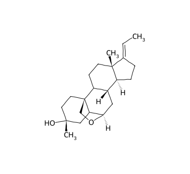 C/C=C1\CC[C@H]2[C@@H]3C[C@H]4OC[C@@]5(CC[C@@](C)(O)CC45)C3CC[C@]12C